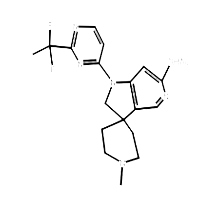 CC(=O)Nc1cc2c(cn1)C1(CCN(C)CC1)CN2c1ccnc(C(C)(F)F)n1